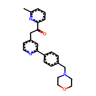 Cc1cccc(C(=O)Cc2ccnc(-c3ccc(CN4CCOCC4)cc3)c2)n1